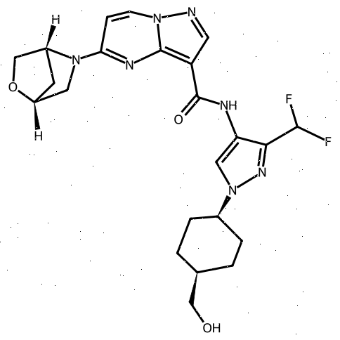 O=C(Nc1cn([C@H]2CC[C@@H](CO)CC2)nc1C(F)F)c1cnn2ccc(N3C[C@H]4C[C@@H]3CO4)nc12